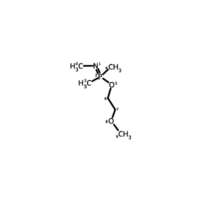 CN=P(C)(C)OCCOC